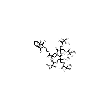 CC(C)(Br)C(=O)OCC(C)(COC(=O)C(C)(C)Br)C(=O)OCC(C)(COC(=O)C(C)(COC(=O)C(C)(C)Br)COC(=O)C(C)(C)Br)C(=O)OCCN1C(=O)[C@@H]2C3C=CC(O3)[C@@H]2C1=O